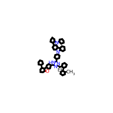 CCC(C1=NC(c2ccc(-n3c4ccccc4c4c3ccc3c5ccccc5n(-c5ccccc5)c34)cc2)NC(c2ccc3c(c2)oc2cccc(-c4ccccc4)c23)=N1)c1ccccc1-c1ccccc1C